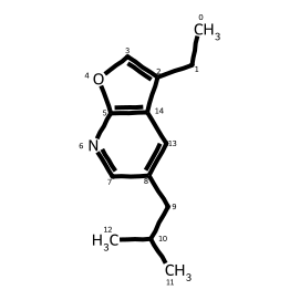 CCc1coc2ncc(CC(C)C)cc12